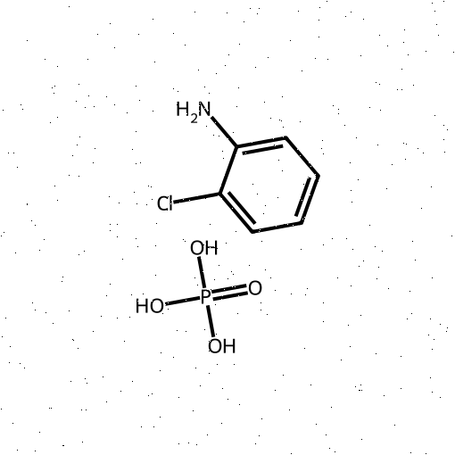 Nc1ccccc1Cl.O=P(O)(O)O